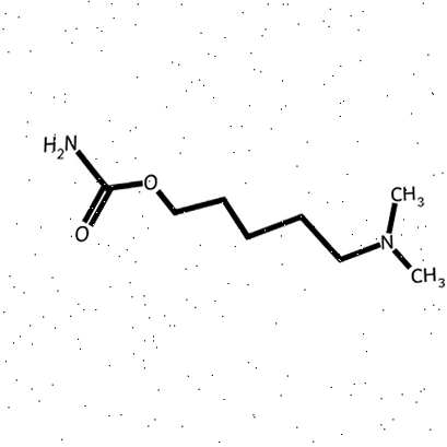 CN(C)CCCCCOC(N)=O